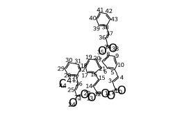 O=C([O-])C=Cc1ccccc1.O=C([O-])C=Cc1ccccc1.O=C([O-])C=Cc1ccccc1.O=C([O-])C=Cc1ccccc1.[C+4]